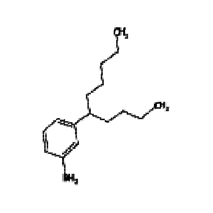 Bc1cccc(C(CCCC)CCCCC)c1